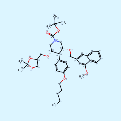 CCCCCOc1ccc([C@@H]2[C@@H](OCc3cc(OC)c4ccccc4c3)CN(C(=O)OC(C)(C)C)C[C@H]2OCC2COC(C)(C)O2)cc1